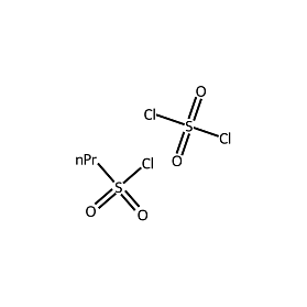 CCCS(=O)(=O)Cl.O=S(=O)(Cl)Cl